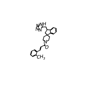 Cc1ccccc1/C=C/C(=O)N1CCC2(CC1)CC(Cc1nnn[nH]1)c1ccccc12